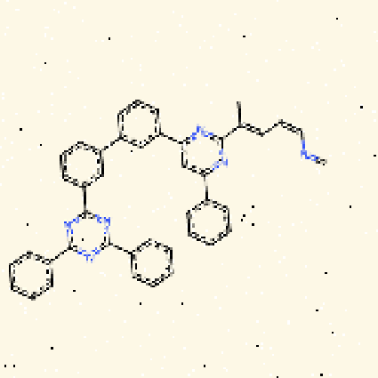 C=N/C=C\C=C(/C)c1nc(-c2ccccc2)cc(-c2cccc(-c3cccc(-c4nc(-c5ccccc5)nc(-c5ccccc5)n4)c3)c2)n1